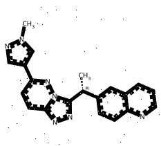 C[C@H](c1ccc2ncccc2c1)c1nnc2ccc(-c3cnn(C)c3)nn12